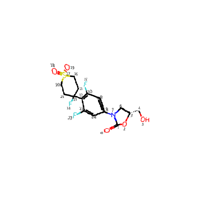 O=C1O[C@@H](CO)CN1c1cc(F)c(C2(F)CCS(=O)(=O)CC2)c(F)c1